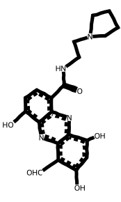 O=Cc1c(O)cc(O)c2nc3c(C(=O)NCCN4CCCC4)ccc(O)c3nc12